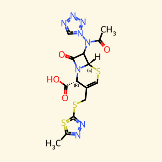 CC(=O)N(C1C(=O)N2[C@@H](C(=O)O)C(CSc3nnc(C)s3)=CS[C@@H]12)n1cnnn1